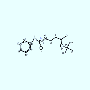 CC(CC/N=[P+](\[O-])Oc1ccccc1)OC(C)(C)C